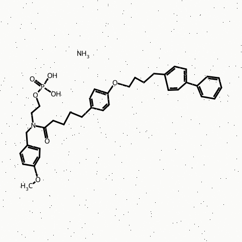 COc1ccc(CN(CCOP(=O)(O)O)C(=O)CCCCc2ccc(OCCCCc3ccc(-c4ccccc4)cc3)cc2)cc1.N